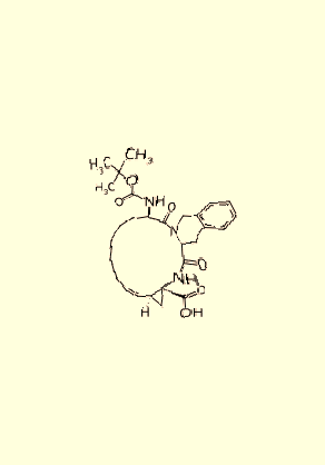 CC(C)(C)OC(=O)NC1CCCCC/C=C\[C@@H]2C[C@@]2(C(=O)O)NC(=O)C2Cc3ccccc3CN2C1=O